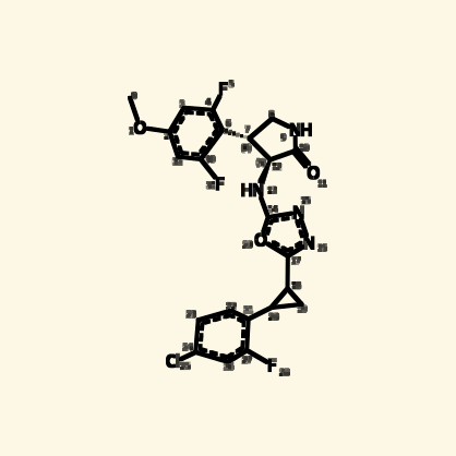 COc1cc(F)c([C@@H]2CNC(=O)[C@H]2Nc2nnc(C3CC3c3ccc(Cl)cc3F)o2)c(F)c1